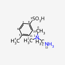 CN(C)C.Cc1ccc(S(=O)(=O)O)cc1.N